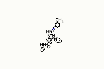 Cc1cccc(/C=N/Nc2nc(N3CCOCC3)c3sc(C(=O)NC4COC4)nc3n2)c1